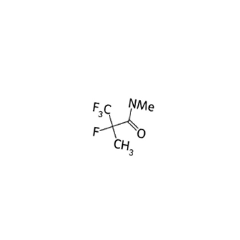 CNC(=O)C(C)(F)C(F)(F)F